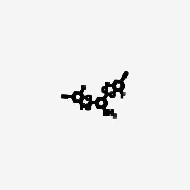 C#Cc1cc(F)c(OC(=O)c2cc(N)cc(C(=O)Oc3c(F)cc(C#C)cc3F)c2)c(F)c1